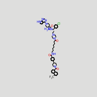 NC1(C(=O)N[C@@H](CCN2CCN(C(=O)CCCCCCCNC(=O)c3ccc(C4CCN(C(=O)c5cccc6c(C(F)(F)F)cccc56)CC4)cc3)CC2)c2ccc(Cl)cc2)CCN(c2ncnc3[nH]ccc23)CC1